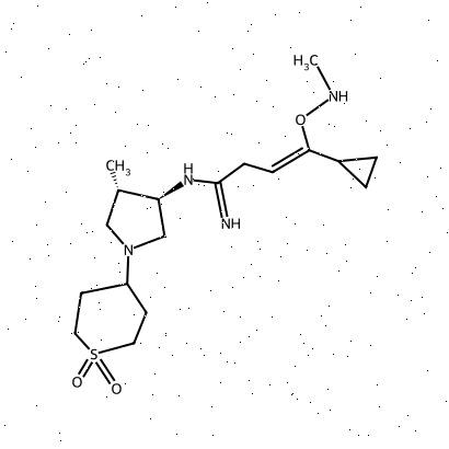 CNO/C(=C\CC(=N)N[C@H]1CN(C2CCS(=O)(=O)CC2)C[C@@H]1C)C1CC1